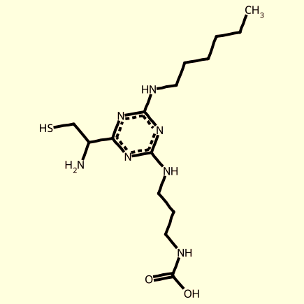 CCCCCCNc1nc(NCCCNC(=O)O)nc(C(N)CS)n1